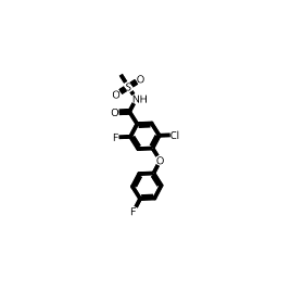 CS(=O)(=O)NC(=O)c1cc(Cl)c(Oc2ccc(F)cc2)cc1F